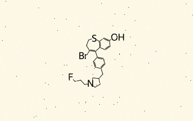 Oc1ccc2c(c1)SCCC(Br)=C2c1ccc(CC2CCN(CCCF)C2)cc1